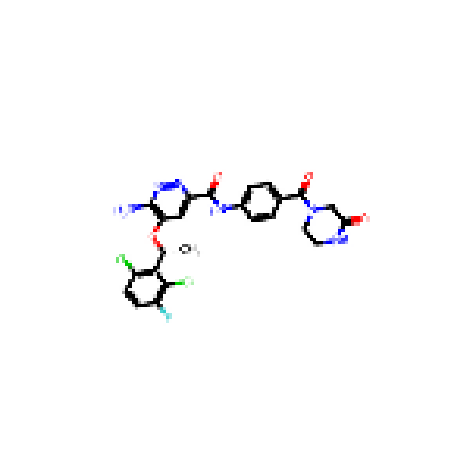 C[C@@H](Oc1cc(C(=O)Nc2ccc(C(=O)N3CCNC(=O)C3)cc2)nnc1N)c1c(Cl)ccc(F)c1Cl